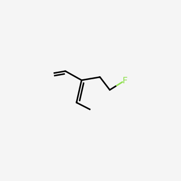 C=CC(=CC)CCF